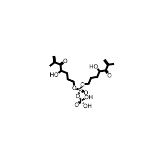 C=C(C)C(=O)C(O)CCCOP(=O)(OCCCC(O)C(=O)C(=C)C)OP(=O)(O)O